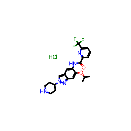 CC(C)Oc1cc2nn(C3CCNCC3)cc2cc1NC(=O)c1cccc(C(F)(F)F)n1.Cl